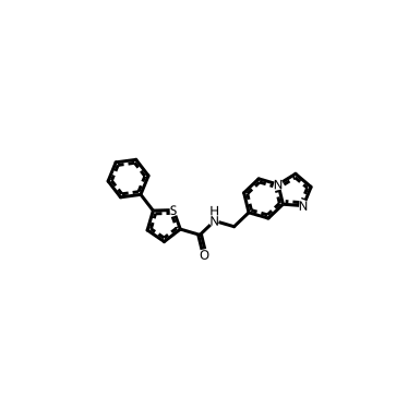 O=C(NCc1ccn2ccnc2c1)c1ccc(-c2ccccc2)s1